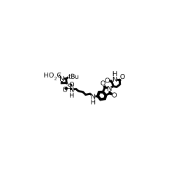 CC(C)(C)C1C(S(=O)(=O)NCCCCCNc2ccc3c(c2)C(=O)N(C2CCC(=O)NC2=O)C3=O)CN1C(=O)O